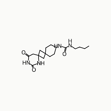 CCCCNC(=O)NC1CCC2(CC1)CC1(CC(=O)NC(=O)N1)C2